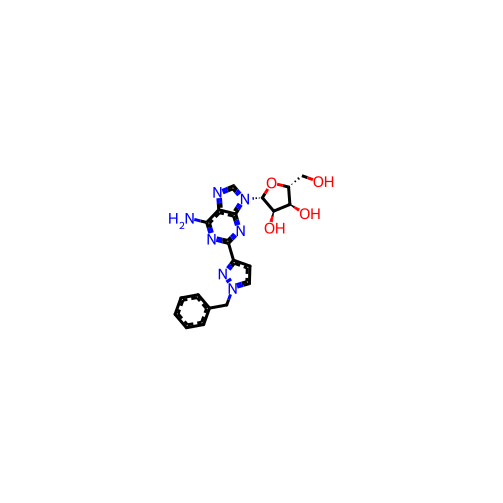 Nc1nc(-c2ccn(Cc3ccccc3)n2)nc2c1ncn2[C@@H]1O[C@H](CO)[C@@H](O)[C@H]1O